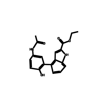 CCOC(=O)c1cc2c(-c3cc(NC(C)=O)ccc3O)cccc2[nH]1